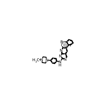 CN1CCN(c2ccc(Nc3ncc4cc(-c5ccccc5Br)c(C(=O)O)nc4n3)cc2)CC1